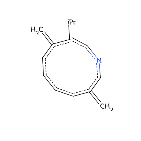 C=c1ccccc(=C)c(C(C)C)cnc1